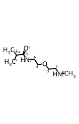 CNCCOCCNC(=O)C(C)C